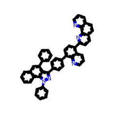 c1ccc(-c2cc3ccccc3c3c2c(-c2ccc(-c4ccc(-c5ccc6ccc7cccnc7c6n5)c5cccnc45)cc2)nn3-c2ccccc2)cc1